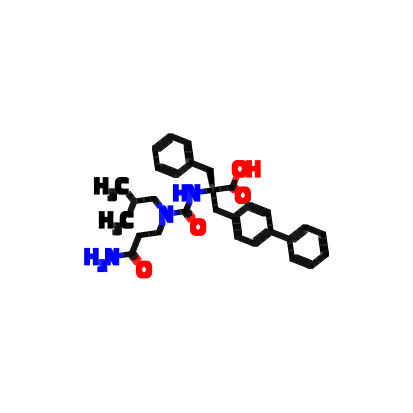 CC(C)CN(CCC(N)=O)C(=O)N[C@@](Cc1ccccc1)(Cc1ccc(-c2ccccc2)cc1)C(=O)O